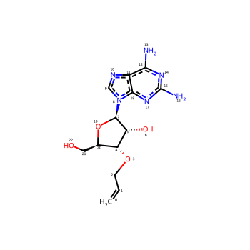 C=CCO[C@H]1[C@@H](O)[C@H](n2cnc3c(N)nc(N)nc32)O[C@@H]1CO